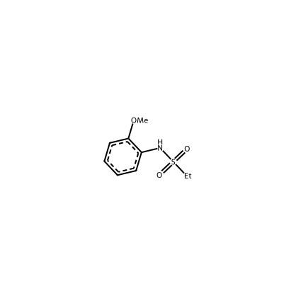 CCS(=O)(=O)Nc1ccccc1OC